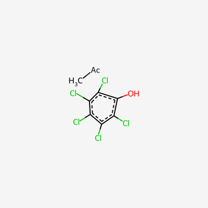 CC(C)=O.Oc1c(Cl)c(Cl)c(Cl)c(Cl)c1Cl